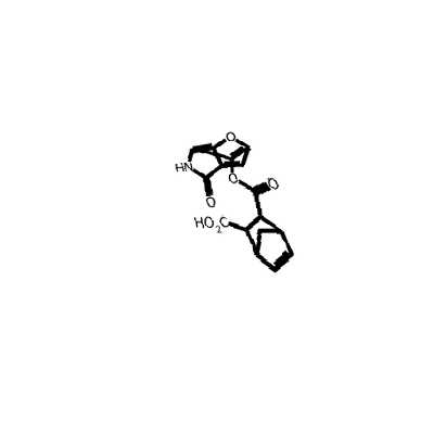 O=C1Nc2c(OC(=O)C3C4C=CC(C4)C3C(=O)O)c3cc1c2o3